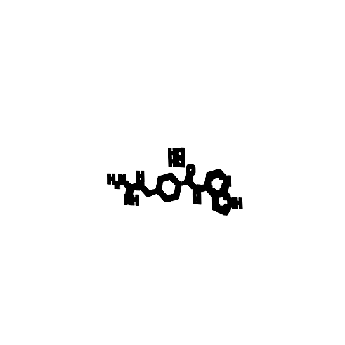 Cl.Cl.N=C(N)NC[C@H]1CC[C@H](C(=O)Nc2ccnc3[nH]ccc23)CC1